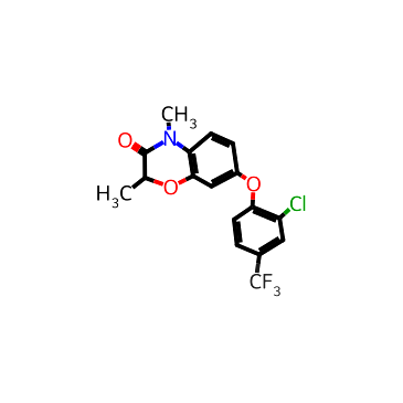 CC1Oc2cc(Oc3ccc(C(F)(F)F)cc3Cl)ccc2N(C)C1=O